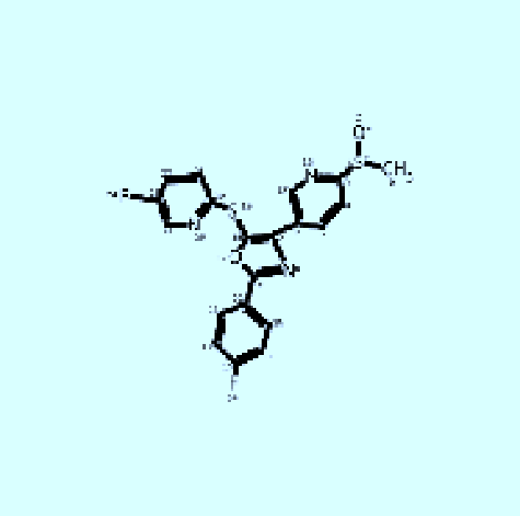 C[S+]([O-])c1ccc(-c2nc(-c3ccc(F)cc3)oc2Sc2ccc(F)cn2)cn1